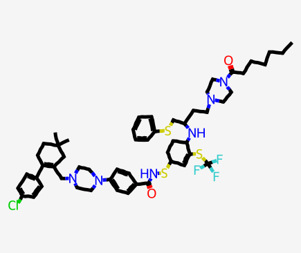 CCCCCCC(=O)N1CCN(CCC(CSc2ccccc2)NC2CCC(SNC(=O)c3ccc(N4CCN(CC5=C(c6ccc(Cl)cc6)CCC(C)(C)C5)CC4)cc3)C=C2SC(F)(F)F)CC1